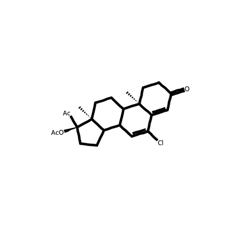 CC(=O)O[C@]1(C(C)=O)CCC2C3C=C(Cl)C4=CC(=O)CC[C@]4(C)C3CC[C@@]21C